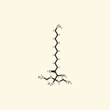 [CH2]C(OCC)(OCC)C(N)C(=O)CCCCCCCCCCC